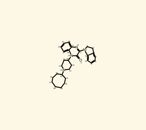 O=c1c(N2CCc3ccccc32)nc2ccccc2n1C1CCN(C2CCCCCCC2)CC1